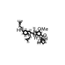 COc1cc(C(=O)N2C[C@H]3CC[C@H]2C3N)cc2nc(-c3cc4cc(NCCC5CC5)ccc4n3CC3CC3)n(C)c12